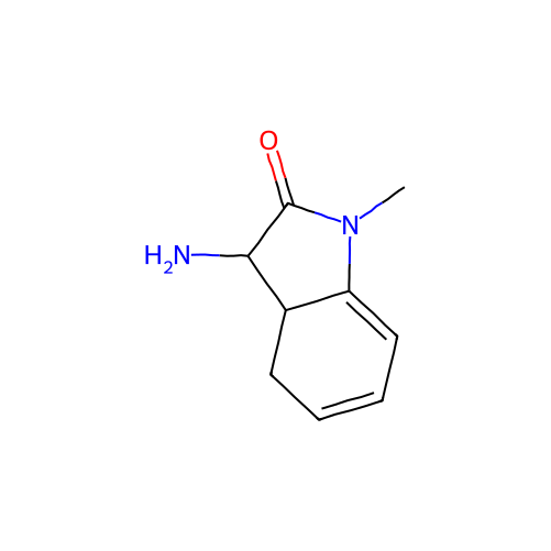 CN1C(=O)C(N)C2CC=CC=C21